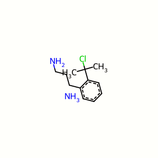 CC(C)(Cl)c1ccccc1CCCN.N